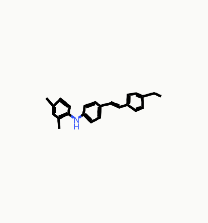 CCc1ccc(C=Cc2ccc(Nc3ccc(C)cc3C)cc2)cc1